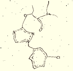 CC(Oc1ncn(-c2cccc(Cl)c2)n1)C(=O)N(C)C